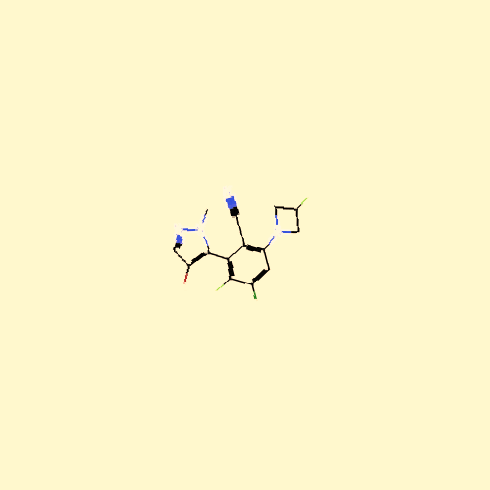 Cn1ncc(Br)c1-c1c(F)c(Cl)cc(N2CC(F)C2)c1C#N